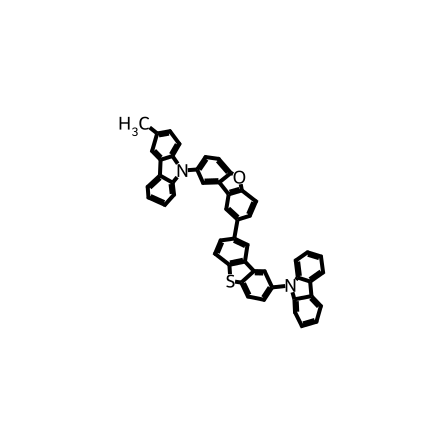 Cc1ccc2c(c1)c1ccccc1n2-c1ccc2oc3ccc(-c4ccc5sc6ccc(-n7c8ccccc8c8ccccc87)cc6c5c4)cc3c2c1